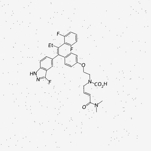 CC/C(=C(/c1ccc(OCCN(C/C=C/C(=O)N(C)C)C(=O)O)cc1)c1ccc2[nH]nc(F)c2c1)c1c(F)cccc1F